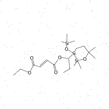 CCOC(=O)C=CC(=O)OC(CC)[Si]1(O[Si](C)(C)C)CCC(C)(C)O[Si]1(C)C